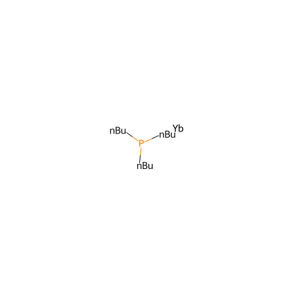 CCCCP(CCCC)CCCC.[Yb]